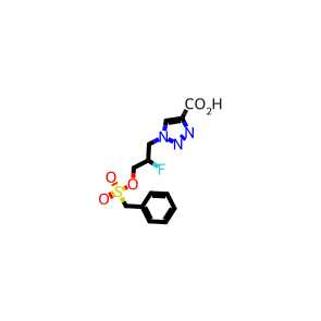 O=C(O)c1cn(CC(F)COS(=O)(=O)Cc2ccccc2)nn1